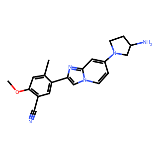 COc1cc(C)c(-c2cn3ccc(N4CCC(N)C4)cc3n2)cc1C#N